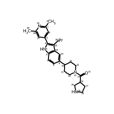 Cc1cc(-c2[nH]c3ccc(C4CCN(C(=O)C5CCNC5)CC4)cc3c2C(C)C)cc(C)n1